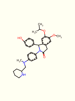 COc1cc2c(cc1OC(C)C)C(c1ccc(O)cc1)N(c1ccc(N(C)CC3CCCCN3)cc1)C(=O)C2